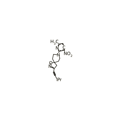 Cc1ccc([N+](=O)[O-])c(N2CCC3(CC2)CC(C#CC(C)C)=NO3)n1